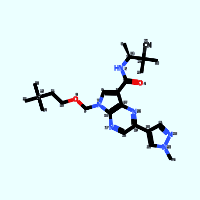 C[C@H](NC(=O)c1cn(COCC[Si](C)(C)C)c2ncc(-c3cnn(C)c3)nc12)C(C)(C)C#N